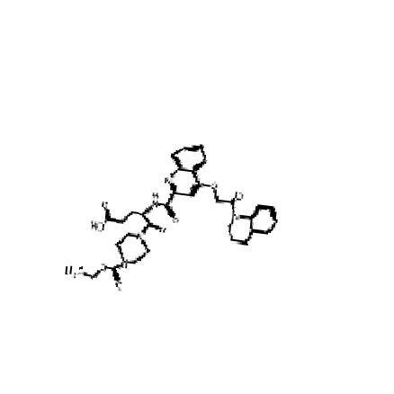 CCOC(=O)N1CCN(C(=O)C(CCC(=O)O)NC(=O)c2cc(OCC(=O)N3CCCc4ccccc43)c3ccccc3n2)CC1